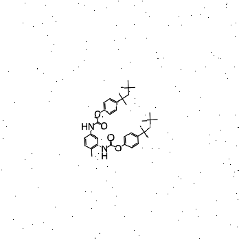 Cc1ccc(NC(=O)Oc2ccc(C(C)(C)CC(C)(C)C)cc2)cc1NC(=O)Oc1ccc(C(C)(C)CC(C)(C)C)cc1